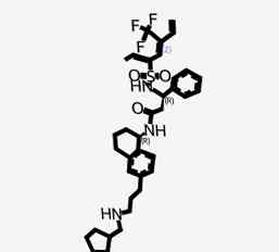 C=C/C(=C/C(=CC)S(=O)(=O)N[C@H](CC(=O)N[C@@H]1CCCc2cc(CCCNCC3CCCC3)ccc21)c1ccccc1)C(F)(F)F